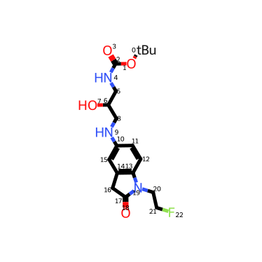 CC(C)(C)OC(=O)NCC(O)CNc1ccc2c(c1)CC(=O)N2CCF